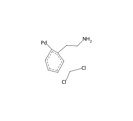 ClCCl.NCCc1cccc[c]1[Pd]